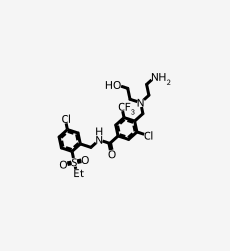 CCS(=O)(=O)c1ccc(Cl)cc1CNC(=O)c1cc(Cl)c(CN(CCN)CCO)c(C(F)(F)F)c1